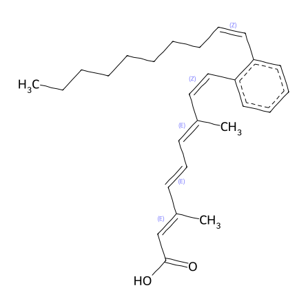 CCCCCCCC/C=C\c1ccccc1\C=C/C(C)=C/C=C/C(C)=C/C(=O)O